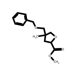 COC(=O)C1CC(C)(COCc2ccccc2)CO1